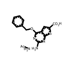 CC(N)=O.Nc1nc(OCc2ccccc2)c2cc(C(=O)O)sc2n1